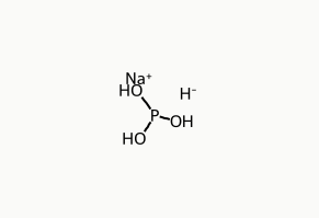 OP(O)O.[H-].[Na+]